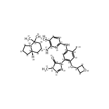 Cc1cnc(Nc2cc(-n3nnn(C)c3=O)c(OC3COC3)cc2F)nc1N[C@@H]1C[C@@H]2CCCN2C(C)(C)C1